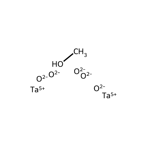 CO.[O-2].[O-2].[O-2].[O-2].[O-2].[Ta+5].[Ta+5]